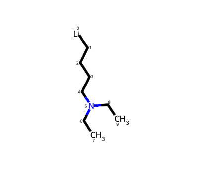 [Li][CH2]CCCN(CC)CC